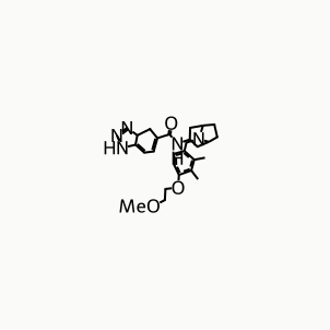 COCCOc1ccc(CN2C3CCC2CC(NC(=O)C2=CC=C4NN=NC4C2)C3)c(C)c1C